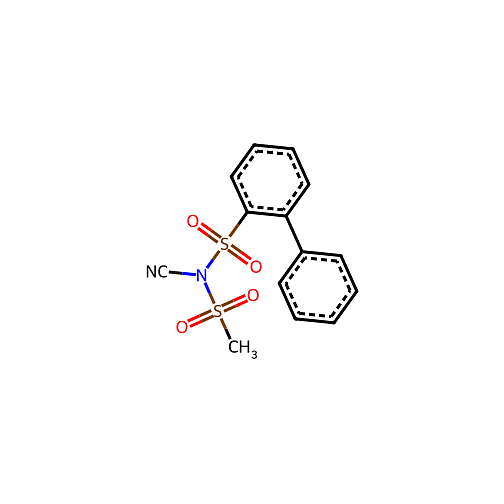 CS(=O)(=O)N(C#N)S(=O)(=O)c1ccccc1-c1ccccc1